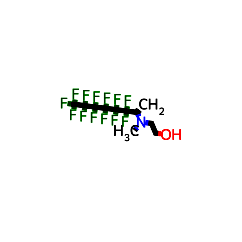 C=C(N(C)CCO)C(F)(F)C(F)(F)C(F)(F)C(F)(F)C(F)(F)C(F)(F)F